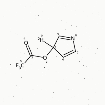 [2H]C1(OC(=O)C(F)(F)F)C=CN=C1